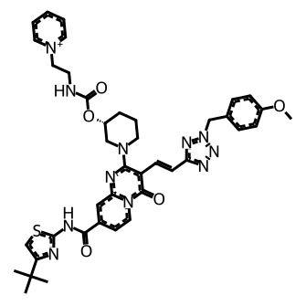 COc1ccc(Cn2nnc(C=Cc3c(N4CCC[C@@H](OC(=O)NCC[n+]5ccccc5)C4)nc4cc(C(=O)Nc5nc(C(C)(C)C)cs5)ccn4c3=O)n2)cc1